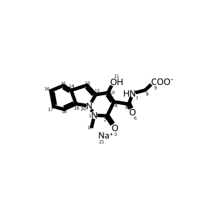 Cn1c(=O)c(C(=O)NCC(=O)[O-])c(O)c2cc3ccccc3n21.[Na+]